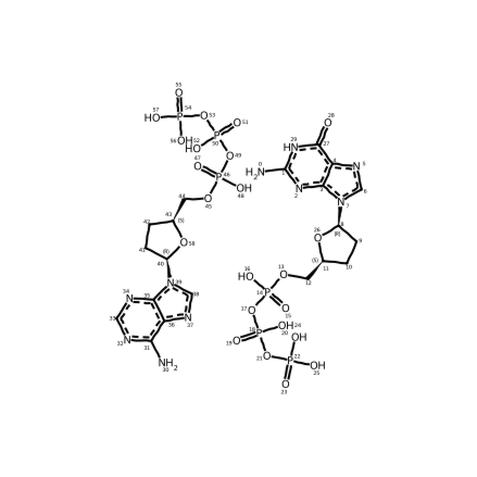 Nc1nc2c(ncn2[C@H]2CC[C@@H](COP(=O)(O)OP(=O)(O)OP(=O)(O)O)O2)c(=O)[nH]1.Nc1ncnc2c1ncn2[C@H]1CC[C@@H](COP(=O)(O)OP(=O)(O)OP(=O)(O)O)O1